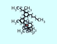 CCCCCc1cc(-c2cc(C)cc(B3OC(C)(C)C(C)(C)O3)c2OC2CCCCO2)cc(C(C)CCC)c1